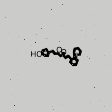 O=C(C=Cc1ccc(O)cc1)CC(=O)C=Cc1ccccc1N1CCCCC1